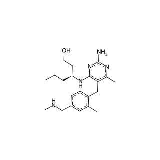 CCC[C@@H](CCO)Nc1nc(N)nc(C)c1Cc1ccc(CNC)cc1C